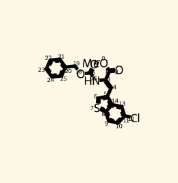 COC(=O)/C(=C/c1csc2ccc(Cl)cc12)NC(=O)OCc1ccccc1